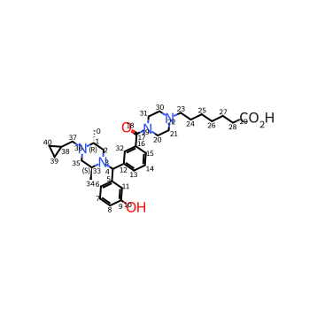 C[C@@H]1CN(C(c2cccc(O)c2)c2cccc(C(=O)N3CCN(CCCCCCC(=O)O)CC3)c2)[C@@H](C)CN1CC1CC1